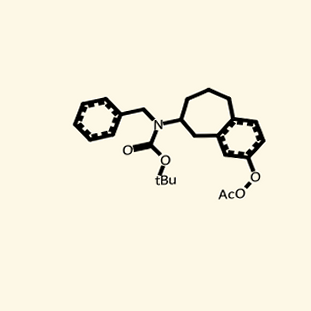 CC(=O)OOc1ccc2c(c1)CC(N(Cc1ccccc1)C(=O)OC(C)(C)C)CCC2